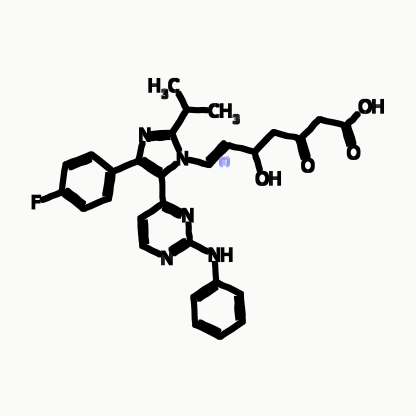 CC(C)c1nc(-c2ccc(F)cc2)c(-c2ccnc(Nc3ccccc3)n2)n1/C=C/C(O)CC(=O)CC(=O)O